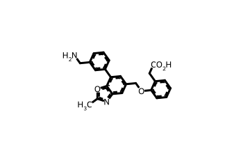 Cc1nc2cc(COc3ccccc3CC(=O)O)cc(-c3cccc(CN)c3)c2o1